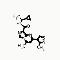 Cc1nscc1-c1cc(C)n2cnc(C(=O)N[C@H](C3CC3)C(F)(F)F)c2n1